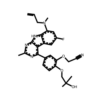 C=CCN(C)c1cc(F)cc2c1[nH]c1nc(C)nc(-c3ccc(OCC(C)(C)O)c(OCC#N)c3)c12